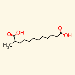 CC(CCCCCCCCCC(=O)O)C(=O)O